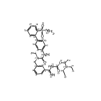 CCN(Cc1cccc(C(=N)NC(=O)OC(C)N(CC)CC)c1)C(=O)Nc1ccc(-c2ccccc2S(N)(=O)=O)cc1